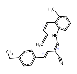 C=C/C=C\c1c(C)cccc1N/N=C(C#N)\C=C\c1ccc(CC)cc1